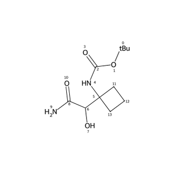 CC(C)(C)OC(=O)NC1(C(O)C(N)=O)CCC1